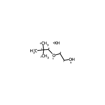 CC(C)(C)COCCO.[KH]